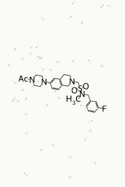 CC(=O)N1CCN(c2ccc3c(c2)CCN(CS(=O)(=O)N(C)Cc2cccc(F)c2)C3)CC1